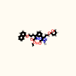 CCOC(=O)c1[nH]c2c(-c3c(CCOC4CCCCO4)nn(C)c3CO)cccc2c1CCCOc1cccc2ccccc12